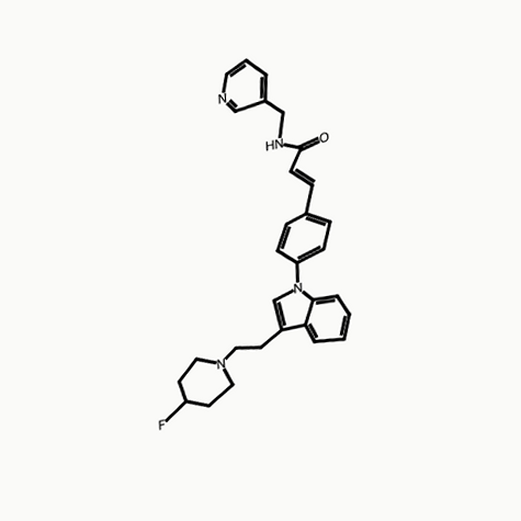 O=C(/C=C/c1ccc(-n2cc(CCN3CCC(F)CC3)c3ccccc32)cc1)NCc1cccnc1